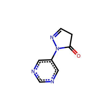 O=C1CC=NN1c1cncnc1